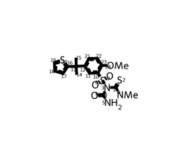 CNC(=S)N(C(N)=O)S(=O)(=O)c1cc(C(C)(C)c2cccs2)ccc1OC